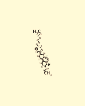 CCCCCCCC1CCC(c2ccc(-c3ccc(CCC)c(F)c3F)c(F)c2)CO1